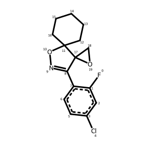 Fc1cc(Cl)ccc1C1=NOC2(CCCCC2)C12CO2